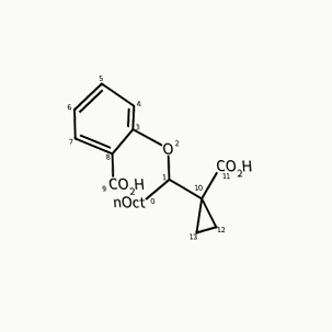 CCCCCCCCC(Oc1ccccc1C(=O)O)C1(C(=O)O)CC1